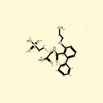 CCCOc1cccc(-c2ccccc2)c1C(=O)N[C@@H](CCS(=O)(=O)O)C(=O)O